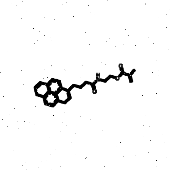 C=C(C)C(=O)OCCNC(=O)CCCC1=CCc2ccc3c4c(ccc1c24)C=CC3